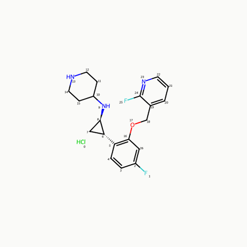 Cl.Fc1ccc([C@@H]2C[C@H]2NC2CCNCC2)c(OCc2cccnc2F)c1